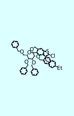 CCc1ccc(Cc2c(Cl)sc3cc4c(cc23)[C@]2(OC4)O[C@H](COCc3ccccc3)[C@H](OCc3ccccc3)[C@H](OCc3ccccc3)[C@H]2OCc2ccccc2)cc1